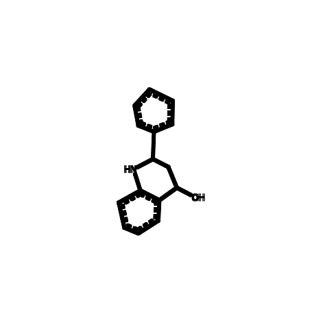 OC1CC(c2ccccc2)Nc2ccccc21